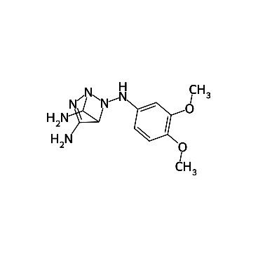 COc1ccc(NN2C3C(N)=NN2C3N)cc1OC